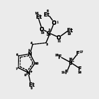 CCO[Si](CCn1cc[n+](CC)c1)(OCC)OCC.F[B-](F)(F)F